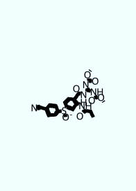 CCC(=O)Nc1cc([S+]([O-])c2ccc(C#N)cc2)ccc1C(=O)NC(=NC(=O)OC)NC(=O)OC